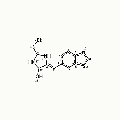 CCSC1N/C(=C\c2ccc3ncsc3c2)C(O)N1